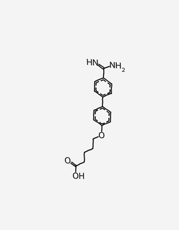 N=C(N)c1ccc(-c2ccc(OCCCCC(=O)O)cc2)cc1